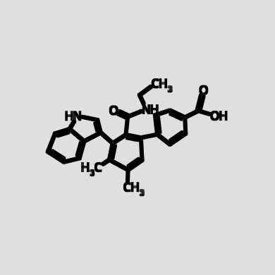 CCNC(=O)c1c(-c2ccc(C(=O)O)cc2)cc(C)c(C)c1-c1c[nH]c2ccccc12